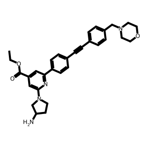 CCOC(=O)c1cc(-c2ccc(C#Cc3ccc(CN4CCOCC4)cc3)cc2)nc(N2CCC(N)C2)c1